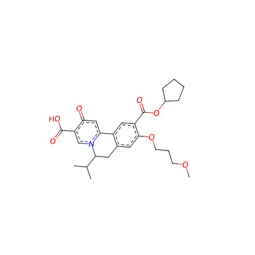 COCCCOc1cc2c(cc1C(=O)OC1CCCC1)-c1cc(=O)c(C(=O)O)cn1C(C(C)C)C2